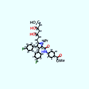 COC(=O)c1ccc(NC(=O)c2c(-c3ccc(F)cc3)c(-c3ccc(F)cc3)c(CC[C@@H](O)C[C@@H](O)CC(=O)O)n2C(C)C)cc1